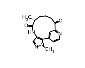 C[C@@H]1CCCC(=O)c2cc(ccn2)-c2c(cnn2C)NC1=O